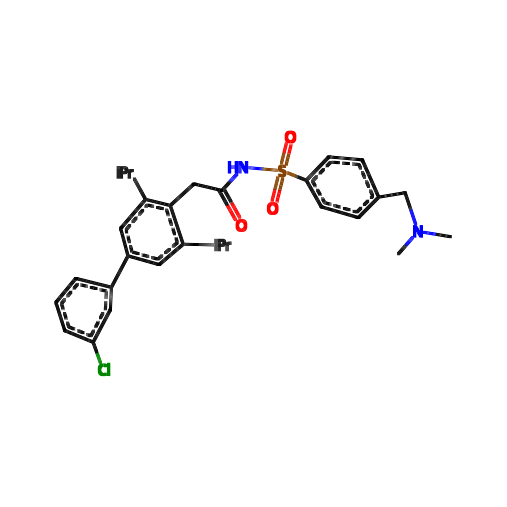 CC(C)c1cc(-c2cccc(Cl)c2)cc(C(C)C)c1CC(=O)NS(=O)(=O)c1ccc(CN(C)C)cc1